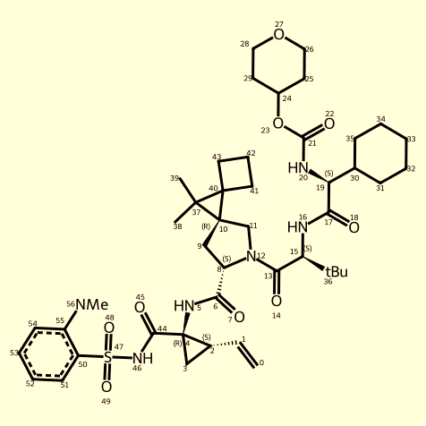 C=C[C@@H]1C[C@]1(NC(=O)[C@@H]1C[C@@]2(CN1C(=O)[C@@H](NC(=O)[C@@H](NC(=O)OC1CCOCC1)C1CCCCC1)C(C)(C)C)C(C)(C)C21CCC1)C(=O)NS(=O)(=O)c1ccccc1NC